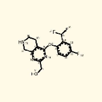 OCc1nc2c(c(Oc3ccc(F)cc3C(F)F)n1)CCNC2